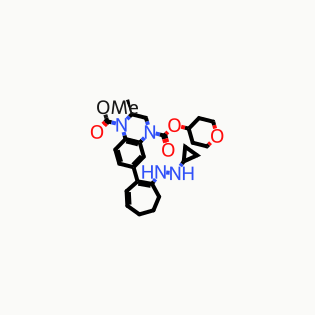 COC(=O)N1c2ccc(C3=C(NNC4CC4)CCCC=C3)cc2N(C(=O)OC2CCOCC2)C[C@@H]1C